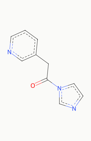 O=C(Cc1cccnc1)n1ccnc1